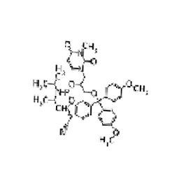 COc1ccc(C(OCC(Cn2ccc(=O)n(C)c2=O)OP(OCCC#N)N(C(C)C)C(C)C)(c2ccccc2)c2ccc(OC)cc2)cc1